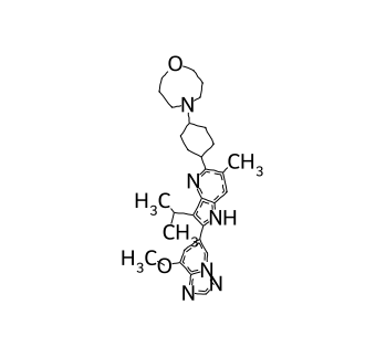 COc1cc(-c2[nH]c3cc(C)c(C4CCC(N5CCCOCCC5)CC4)nc3c2C(C)C)cn2ncnc12